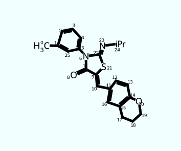 Cc1cccc(N2C(=O)/C(=C/c3ccc4c(c3)CCCO4)S/C2=N\C(C)C)c1